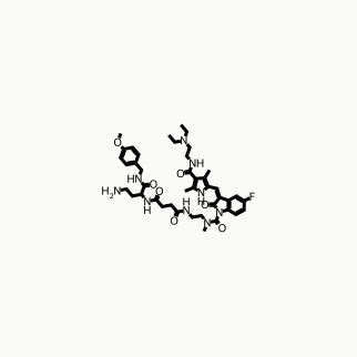 CCN(CC)CCNC(=O)c1c(C)[nH]c(/C=C2\C(=O)N(C(=O)N(C)CCNC(=O)CCC(=O)NC(CCN)C(=O)NCc3ccc(OC)cc3)c3ccc(F)cc32)c1C